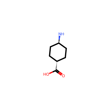 [NH][C@H]1CC[C@H](C(=O)O)CC1